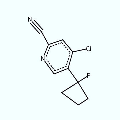 N#Cc1cc(Cl)c(C2(F)CCC2)cn1